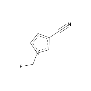 N#Cc1ccn(CF)c1